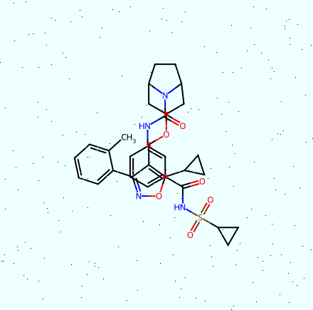 Cc1ccccc1-c1noc(C2CC2)c1COC1CC2CCC(C1)N2C(=O)Nc1cccc(C(=O)NS(=O)(=O)C2CC2)c1